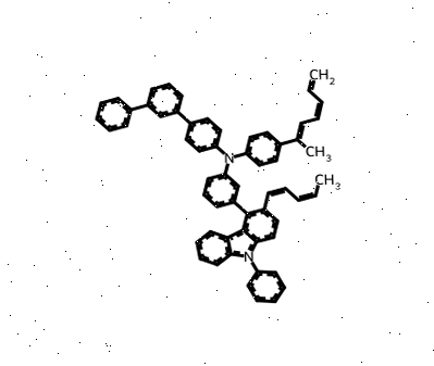 C=C/C=C\C=C(/C)c1ccc(N(c2ccc(-c3cccc(-c4ccccc4)c3)cc2)c2cccc(-c3c(/C=C\C=C/C)ccc4c3c3ccccc3n4-c3ccccc3)c2)cc1